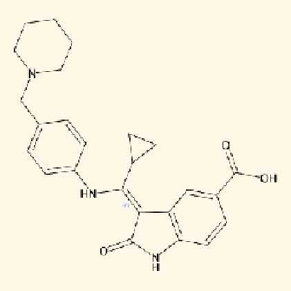 O=C1Nc2ccc(C(=O)O)cc2/C1=C(/Nc1ccc(CN2CCCCC2)cc1)C1CC1